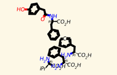 CC(C)[C@@H](N)C(=O)O.N[C@H](Cc1ccccc1)C(=O)O.N[C@H](Cc1ccccc1)C(=O)O.O=C(Cc1ccc(O)cc1)N[C@H](Cc1ccccc1)C(=O)O